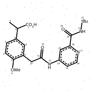 COc1ccc(C(C)C(=O)O)cc1CC(=O)Nc1ccnc(C(=O)NC(C)(C)C)c1